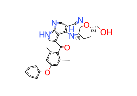 Cc1cc(Oc2ccccc2)cc(C)c1C(=O)c1c[nH]c2ncc(C#N)c(N[C@@H]3CC[C@@H](CO)OC3)c12